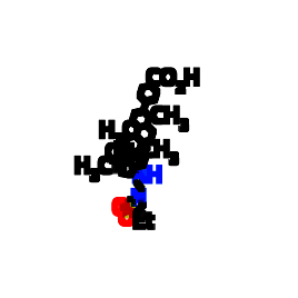 C=C(C)[C@@H]1CCC2(NCCN3CC(CC)S(=O)(=O)C3)CCC3C(CCC4C5(C)CC=C(C6=CCC(C(=O)O)CC6)C(C)C5CCC34C)[C@@H]12